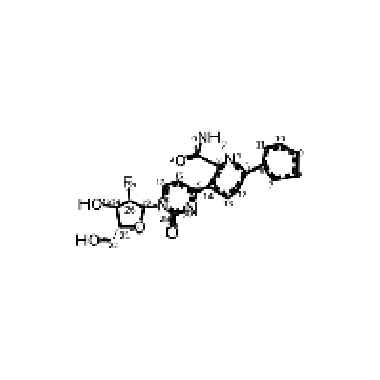 NC(=O)c1nc(-c2ccccc2)ccc1-c1ccn([C@H]2O[C@H](CO)[C@@H](O)[C@H]2F)c(=O)n1